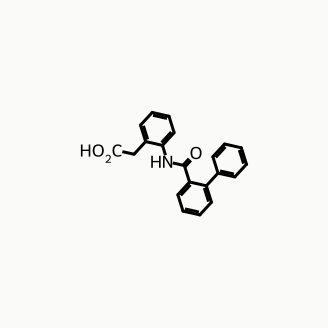 O=C(O)Cc1ccccc1NC(=O)c1ccccc1-c1ccccc1